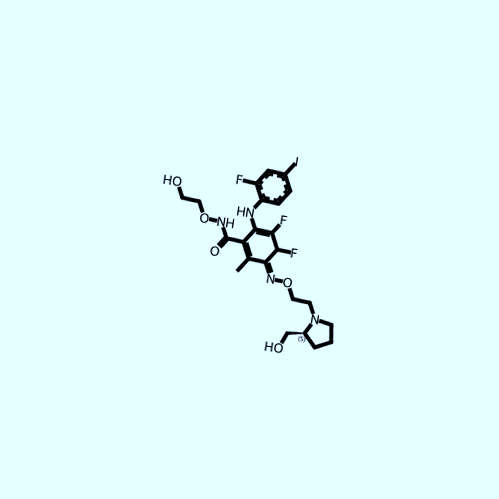 CC1=C(C(=O)NOCCO)C(Nc2ccc(I)cc2F)=C(F)C(F)C1=NOCCN1CCC[C@H]1CO